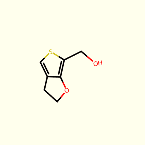 OCc1scc2c1OCC2